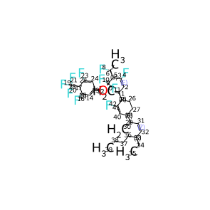 C=C(/C=C(/F)[C@H](C(C)F)C(F)(F)OC1=C[C@H](F)C(C(F)(F)F)C(F)=C1)[C@H]1CC[C@@H](C(=C)/C=C\[C@@H](CC)CCCC)C=C1F